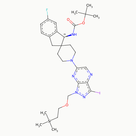 CC(C)(C)OC(=O)N[C@@H]1c2cc(F)ccc2CC12CCN(c1cnc3c(I)nn(COCC[Si](C)(C)C)c3n1)CC2